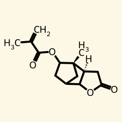 C=C(C)C(=O)OC1CC2C[C@@]1(C)[C@H]1CC(=O)OC21